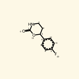 O=C1NCCC(c2ccc(F)cc2)O1